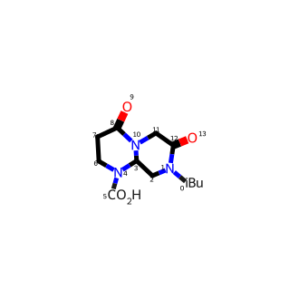 CCC(C)N1CC2N(C(=O)O)CCC(=O)N2CC1=O